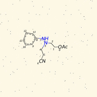 CC(=O)OCCN(CCC#N)Nc1ccccc1